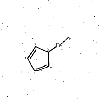 [CH3][Fe][CH]1C=CC=C1